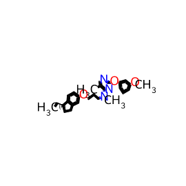 CC[C@@H]1CCc2cc(OCCCN(C)c3nc(Oc4cccc(OC)c4)ncc3C)ccc21